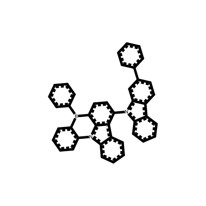 c1ccc(B2c3ccccc3-n3c4ccccc4c4c(-n5c6ccccc6c6ccc(-c7ccccc7)cc65)ccc2c43)cc1